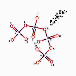 O=P([O-])([O-])OP(=O)([O-])OP(=O)([O-])OP(=O)([O-])[O-].[Ba+2].[Ba+2].[Ba+2]